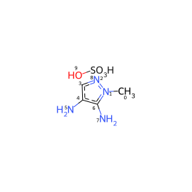 Cn1ncc(N)c1N.O=S(=O)(O)O